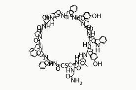 CCCC[C@H]1C(=O)N2CCC[C@@H]2C(=O)N[C@@H](CO)C(=O)N[C@@H](C(C)C)C(=O)N(C)[C@@H](Cc2ccccc2)C(=O)N[C@@H](Cc2ccc(O)cc2)C(=O)N2CCC[C@@H]2C(=O)N[C@@H](Cc2c[nH]c3ccccc23)C(=O)N[C@@H](Cc2ccc(O)cc2)C(=O)N[C@@H](CC(C)C)C(=O)N[C@H](C(=O)NCC(N)=O)CSCC(=O)N[C@@H](Cc2ccccc2)C(=O)N(C)[C@@H](Cc2ccccc2)C(=O)N1C